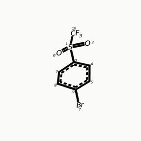 O=S(=O)(c1ccc(Br)cc1)C(F)(F)F